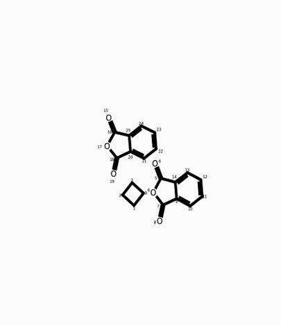 C1CCC1.O=C1OC(=O)c2ccccc21.O=C1OC(=O)c2ccccc21